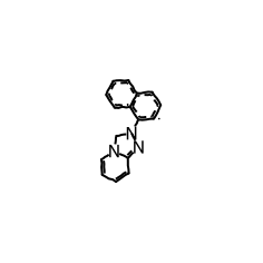 [c]1ccc2ccccc2c1N1CN2C=CC=CC2=N1